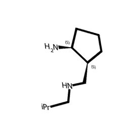 CC(C)CNC[C@@H]1CCC[C@@H]1N